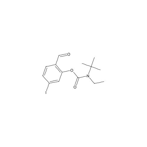 CCN(C(=O)Oc1cc(I)ccc1C=O)C(C)(C)C